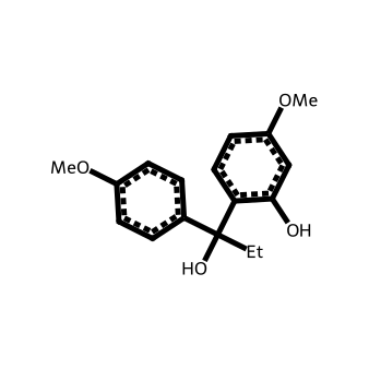 CCC(O)(c1ccc(OC)cc1)c1ccc(OC)cc1O